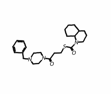 O=C(CCSC(=O)N1CCCC2CCCCC21)N1CCN(Cc2ccccc2)CC1